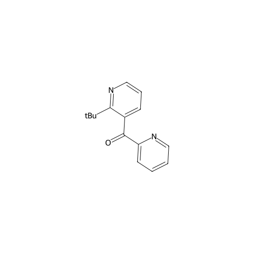 CC(C)(C)c1ncccc1C(=O)c1ccccn1